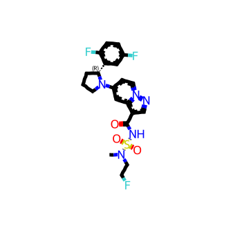 CN(CCF)S(=O)(=O)NC(=O)c1cnn2ccc(N3CCC[C@@H]3c3cc(F)ccc3F)cc12